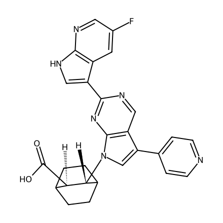 O=C(O)[C@@H]1C2CCC(CC2)[C@H]1n1cc(-c2ccncc2)c2cnc(-c3c[nH]c4ncc(F)cc34)nc21